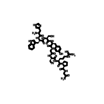 CC(C)C[C@H](NC(=O)CNC(=O)[C@H](Cc1ccc(O)cc1)NC(=O)[C@H](CO)NC(=O)[C@H](Cc1c[nH]c2ccccc12)NC(=O)[C@@H](N)Cc1c[nH]cn1)C(=O)N[C@@H](CCCNC(=N)N)C(=O)N1CCC[C@H]1C(=O)NCC(N)=O